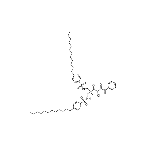 CCCCCCCCCCCCc1ccc(S(=O)(=O)NCC(C)(CNS(=O)(=O)c2ccc(CCCCCCCCCCCC)cc2)C(=O)C(Cl)C(=O)Nc2ccccc2)cc1